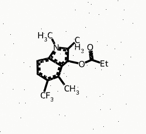 CCC(=O)Oc1c(C)n(C)c2ccc(C(F)(F)F)c(C)c12